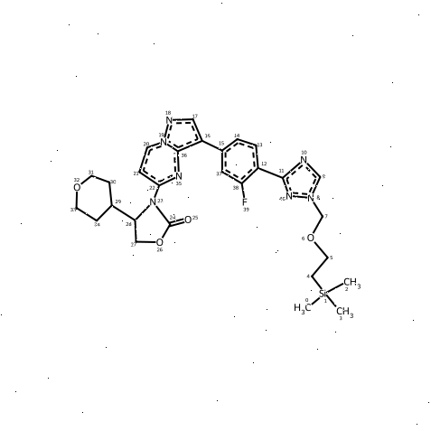 C[Si](C)(C)CCOCn1cnc(-c2ccc(-c3cnn4ccc(N5C(=O)OCC5C5CCOCC5)nc34)cc2F)n1